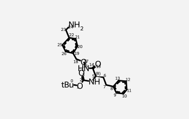 CC(C)(C)OC(=O)N[C@H](CCc1ccccc1)C(=O)NOCc1ccc(CN)cc1